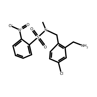 CN(Cc1ccc(Cl)cc1CN)S(=O)(=O)c1ccccc1[N+](=O)[O-]